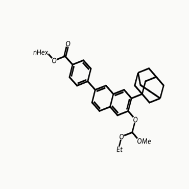 CCCCCCOC(=O)c1ccc(-c2ccc3cc(OC(OC)OCC)c(C45CC6CC(CC(C6)C4)C5)cc3c2)cc1